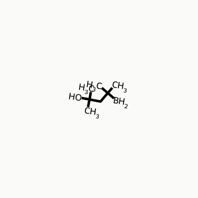 BC(C)(C)CC(C)(C)O